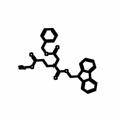 CC(C)(C)OC(=O)CCN(CC(=O)OCc1ccccc1)C(=O)OCC1c2ccccc2-c2ccccc21